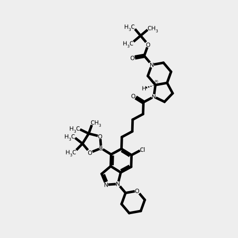 CC(C)(C)OC(=O)N1CCC2CCN(C(=O)CCCCc3c(Cl)cc4c(cnn4C4CCCCO4)c3B3OC(C)(C)C(C)(C)O3)[C@H]2C1